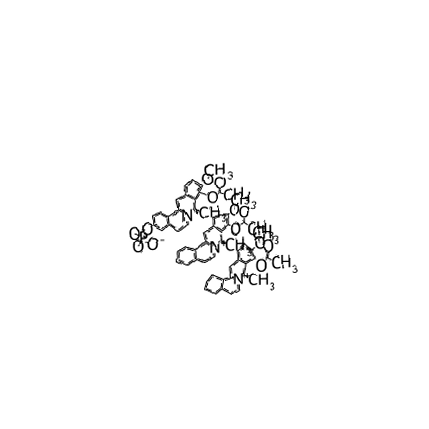 COc1ccc2cc3c4ccccc4cc[n+]3c(C)c2c1OC(C)=O.COc1ccc2cc3c4ccccc4cc[n+]3c(C)c2c1OC(C)=O.COc1ccc2cc3c4ccccc4cc[n+]3c(C)c2c1OC(C)=O.O=P([O-])([O-])[O-]